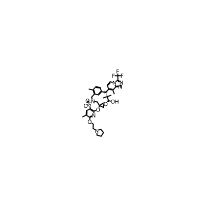 Cc1ccc([C@H](c2ccn3c(C(F)(F)F)nnc3c2C)C(C)(C)C(=O)O)cc1CN1CC2(CC2)Oc2nc(OCCN3CCCC3)c(C)cc2S1(=O)=O